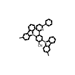 Cc1ccc2c(c1)c1ccccc1n2-c1cc(-c2cccc(-c3ccccc3)n2)c(-n2c3ccccc3c3cc(C)ccc32)cc1C#N